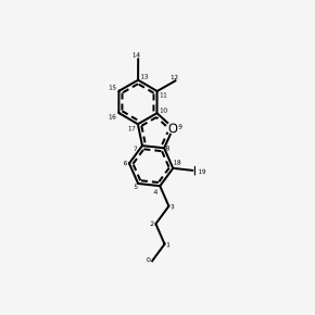 CCCCc1ccc2c(oc3c(C)c(C)ccc32)c1I